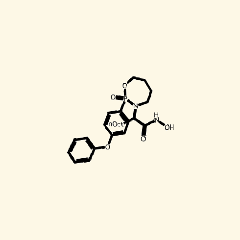 CCCCCCCCC(C(=O)NO)N1CCCCOP1(=O)c1ccc(Oc2ccccc2)cc1